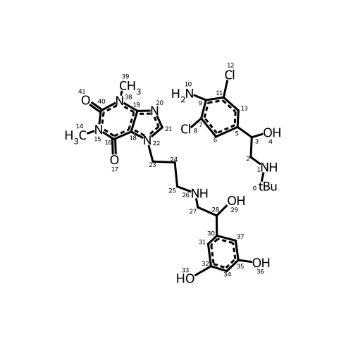 CC(C)(C)NCC(O)c1cc(Cl)c(N)c(Cl)c1.Cn1c(=O)c2c(ncn2CCCNCC(O)c2cc(O)cc(O)c2)n(C)c1=O